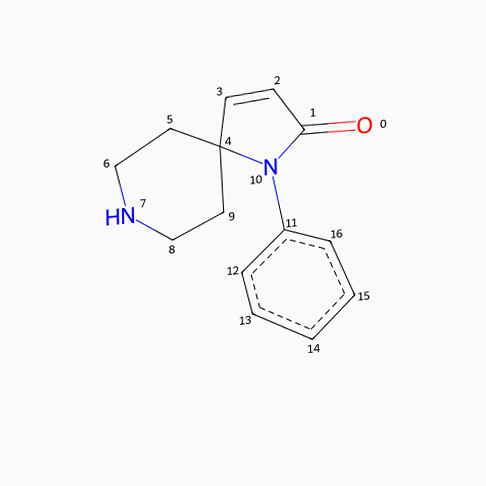 O=C1C=CC2(CCNCC2)N1c1ccccc1